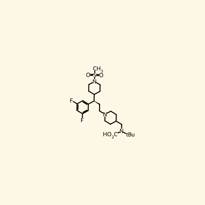 CC(C)(C)N(CC1CCN(CC[C@@H](c2cc(F)cc(F)c2)C2CCN(S(C)(=O)=O)CC2)CC1)C(=O)O